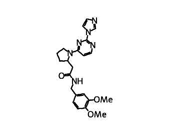 COc1ccc(CNC(=O)CC2CCCN2c2ccnc(-n3ccnc3)n2)cc1OC